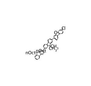 CCCCCCCCC1(CCCCCCCC)c2ccccc2-c2ccc(-c3ccc4c(c3)C(C)(C)c3cc(-c5ccc6c(c5)oc5cc(Cl)ccc56)ccc3-4)cc21